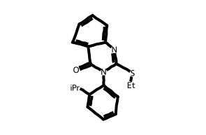 CCSc1nc2ccccc2c(=O)n1-c1ccccc1C(C)C